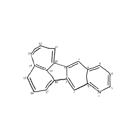 c1cnc2cc3c(cc2c1)-c1cccc2cccc-3c12